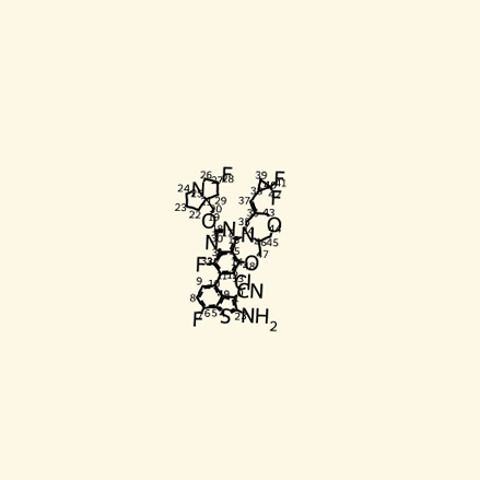 N#Cc1c(N)sc2c(F)ccc(-c3c(Cl)c4c5c(nc(OC[C@@]67CCCN6C[C@H](F)C7)nc5c3F)N3C/C(=C/C5CC5(F)F)COCC3CO4)c12